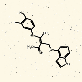 CC(=N)/C(COc1cccc2[nH]ccc12)=C(/C)Nc1ccc(C#N)c(I)c1